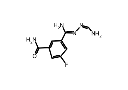 N/C=N\N=C(/N)c1cc(F)cc(C(N)=O)c1